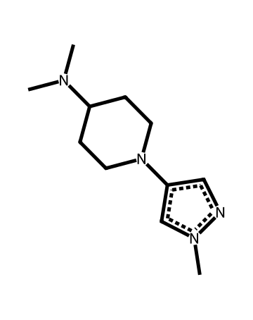 CN(C)C1CCN(c2cnn(C)c2)CC1